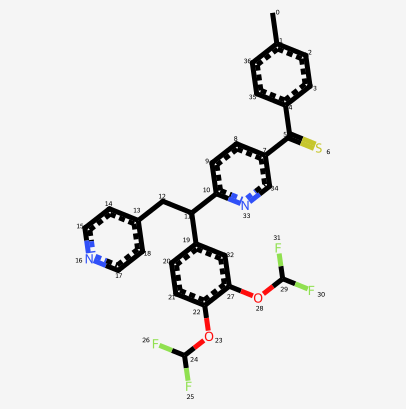 Cc1ccc(C(=S)c2ccc(C(Cc3ccncc3)c3ccc(OC(F)F)c(OC(F)F)c3)nc2)cc1